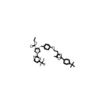 CCOC(=O)[C@H]1CN(c2nccc(C(F)(F)F)n2)C[C@H]1Cc1ccc(OCCc2nc(-c3ccc(C(C)(C)C)cc3)oc2C)cc1